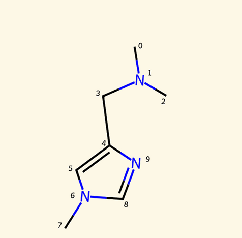 CN(C)Cc1cn(C)cn1